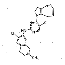 CN1CCc2cc(Cl)c(Nc3ncc(Cl)c(N4CCC5=C4CC=CC=C5)n3)cc2C1